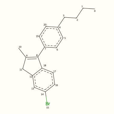 CCCCc1ccc(C2=C(C)Cc3cc(Br)ccc32)cc1